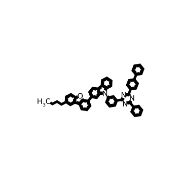 CCCCc1ccc2oc3c(-c4ccc5c6ccccc6n(-c6cccc(-c7nc(-c8ccccc8)nc(-c8ccc(-c9ccccc9)cc8)n7)c6)c5c4)cccc3c2c1